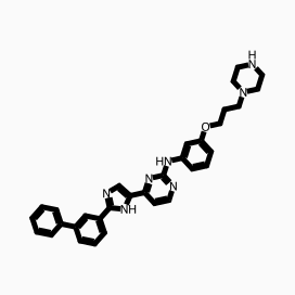 c1ccc(-c2cccc(-c3ncc(-c4ccnc(Nc5cccc(OCCCN6CCNCC6)c5)n4)[nH]3)c2)cc1